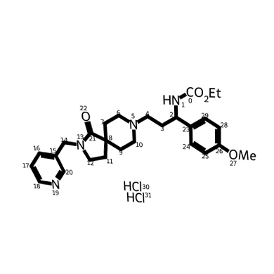 CCOC(=O)NC(CCN1CCC2(CC1)CCN(Cc1cccnc1)C2=O)c1ccc(OC)cc1.Cl.Cl